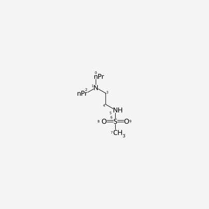 CCCN(CCC)CCNS(C)(=O)=O